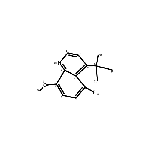 COc1ccc(F)c2c(C(C)(C)C)ccnc12